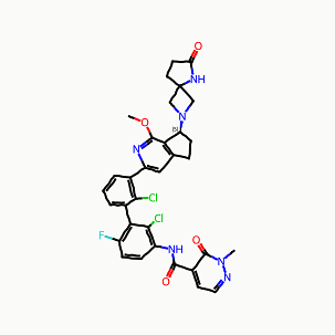 COc1nc(-c2cccc(-c3c(F)ccc(NC(=O)c4ccnn(C)c4=O)c3Cl)c2Cl)cc2c1[C@@H](N1CC3(CCC(=O)N3)C1)CC2